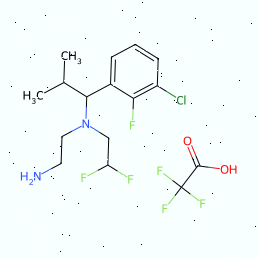 CC(C)C(c1cccc(Cl)c1F)N(CCN)CC(F)F.O=C(O)C(F)(F)F